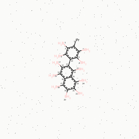 Bc1c(B)c(C(C)C)c(B)c(B)c1-c1c(B)c(B)c2c(B)c(B)c(B)c(B)c2c1B